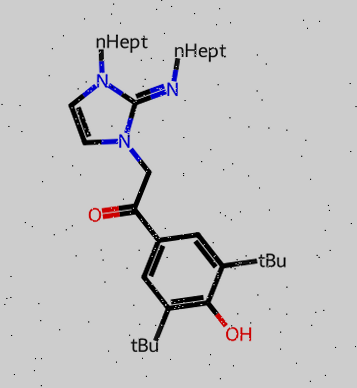 CCCCCCC/N=c1\n(CCCCCCC)ccn1CC(=O)c1cc(C(C)(C)C)c(O)c(C(C)(C)C)c1